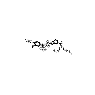 N#Cc1ccc(O[P@@](=O)(O)CNS(=O)(=O)c2cc3cc(C(=O)N(CCN)CCN)ccc3s2)cc1F